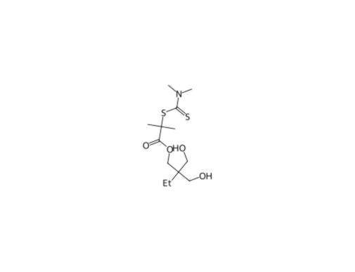 CCC(CO)(CO)COC(=O)C(C)(C)SC(=S)N(C)C